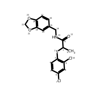 CC(Sc1ccc(Cl)cc1Cl)C(=O)NCc1ccc2c(c1)OCO2